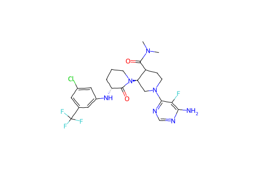 CN(C)C(=O)C1CCN(c2ncnc(N)c2F)C[C@H]1N1CCC[C@@H](Nc2cc(Cl)cc(C(F)(F)F)c2)C1=O